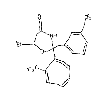 CCC1OC(c2cccc(C(F)(F)F)c2)(c2ccccc2C(F)(F)F)NC1=O